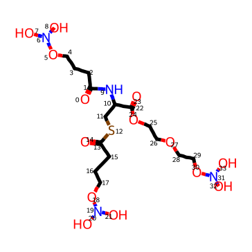 O=C(CCCON(O)O)NC(CSC(=O)CCCON(O)O)C(=O)OCCOCCON(O)O